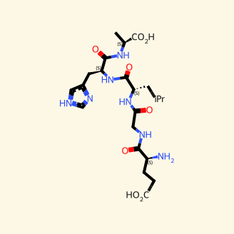 CC(C)C[C@H](NC(=O)CNC(=O)[C@@H](N)CCC(=O)O)C(=O)N[C@@H](Cc1c[nH]cn1)C(=O)N[C@@H](C)C(=O)O